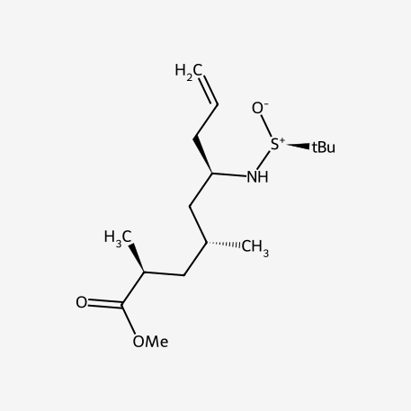 C=CC[C@H](C[C@H](C)C[C@H](C)C(=O)OC)N[S@@+]([O-])C(C)(C)C